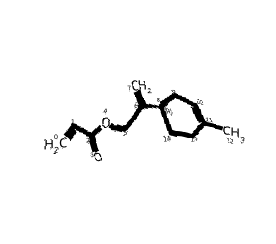 C=CC(=O)OCC(=C)[C@H]1CC=C(C)CC1